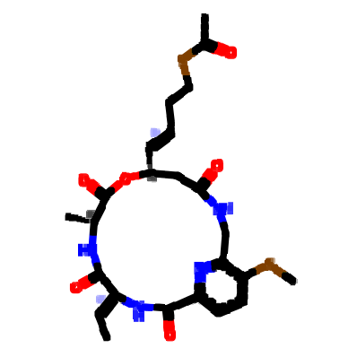 C/C=C1\NC(=O)c2ccc(SC)c(n2)CNC(=O)C[C@@H](/C=C/CCSC(C)=O)OC(=O)[C@@H](C)NC1=O